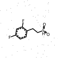 O=[SH](=O)CCc1ccc(F)cc1F